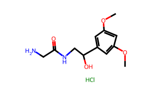 COc1cc(OC)cc(C(O)CNC(=O)CN)c1.Cl